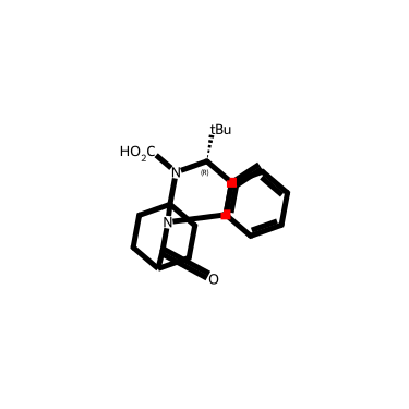 C=CCN1C(=O)C2CCC1(N(C(=O)O)[C@@H](c1ccccc1)C(C)(C)C)CC2